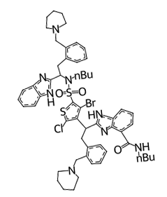 CCCCNC(=O)c1cccc2[nH]c(C(Cc3ccccc3CN3CCCCC3)c3c(Cl)sc(S(=O)(=O)N(CCCC)C(Cc4ccccc4CN4CCCCC4)c4nc5ccccc5[nH]4)c3Br)nc12